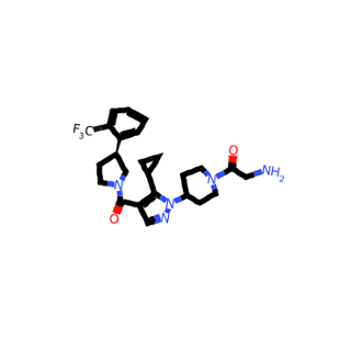 NCC(=O)N1CCC(n2ncc(C(=O)N3CC[C@@H](c4ccccc4C(F)(F)F)C3)c2C2CC2)CC1